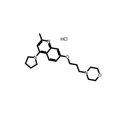 Cc1cc(N2CCCC2)c2ccc(OCCCN3CCOCC3)cc2n1.Cl